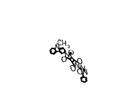 CCn1c2ccccc2c2cc(N3C(=O)C4C(C3=O)C3C(=O)N(c5nnc(-c6ccccc6)o5)C(=O)C43)ccc21